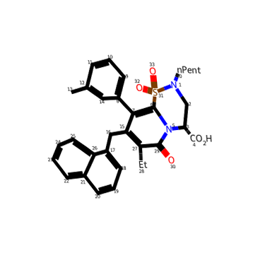 CCCCCN1CC(C(=O)O)n2c(c(-c3cccc(C)c3)c(Cc3cccc4ccccc34)c(CC)c2=O)S1(=O)=O